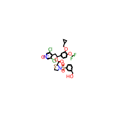 O=C(OC(Cc1c(Cl)c[n+]([O-])cc1Cl)c1ccc(OC(F)F)c(OCC2CC2)c1)C1SCCN1S(=O)(=O)c1cccc(CO)c1